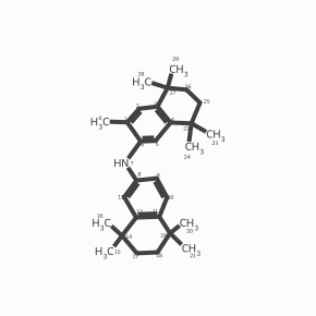 Cc1cc2c(cc1Nc1ccc3c(c1)C(C)(C)CCC3(C)C)C(C)(C)CCC2(C)C